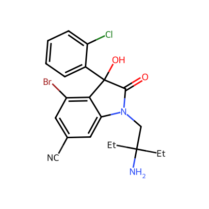 CCC(N)(CC)CN1C(=O)C(O)(c2ccccc2Cl)c2c(Br)cc(C#N)cc21